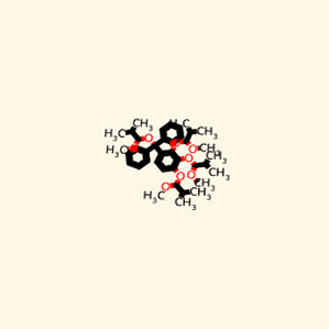 COC(Oc1ccc(C(OC(OC)C(C)C)(c2ccccc2)c2ccccc2)c(OC(OC)C(C)C)c1OC(OC)C(C)C)C(C)C